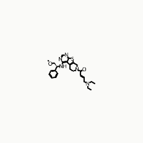 CCN(CC)C/C=C/C(=O)N1CCc2c(sc3ncnc(N[C@H](COC)c4ccccc4)c23)C1